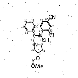 COCO[C@H]1CCN(C[C@H](c2ccccc2)N(C)c2ccc(C#N)cc2Cl)C1